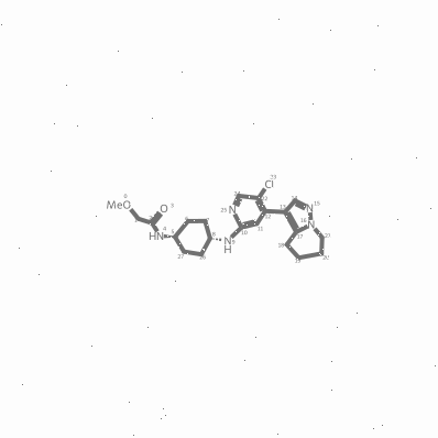 COCC(=O)N[C@H]1CC[C@H](Nc2cc(-c3cnn4c3CCCC4)c(Cl)cn2)CC1